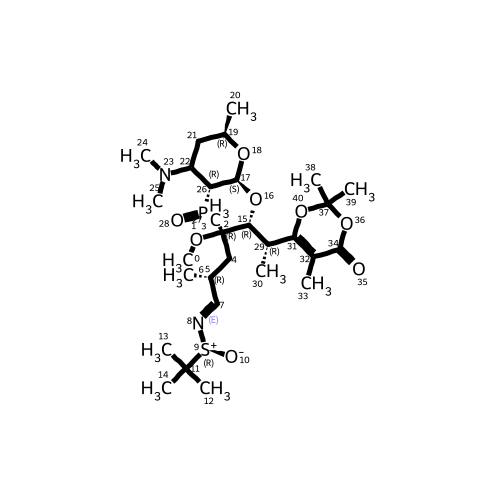 CO[C@](C)(C[C@@H](C)/C=N/[S@@+]([O-])C(C)(C)C)[C@H](O[C@@H]1O[C@H](C)CC(N(C)C)[C@H]1P=O)[C@@H](C)C1=C(C)C(=O)OC(C)(C)O1